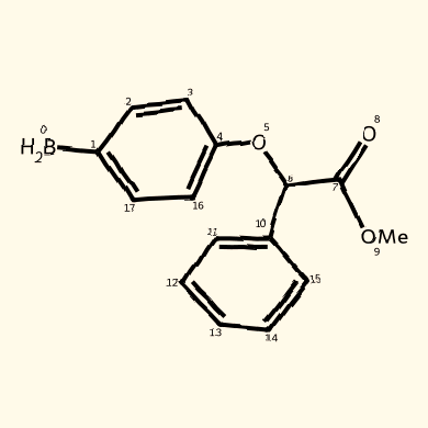 Bc1ccc(OC(C(=O)OC)c2ccccc2)cc1